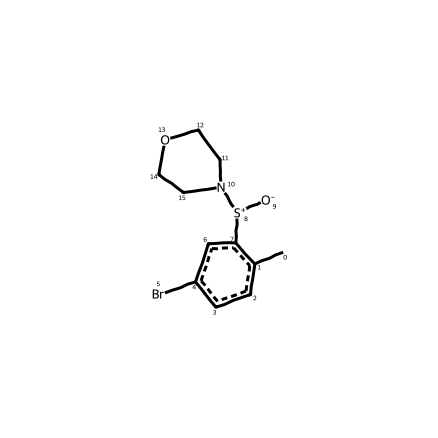 Cc1ccc(Br)cc1[S+]([O-])N1CCOCC1